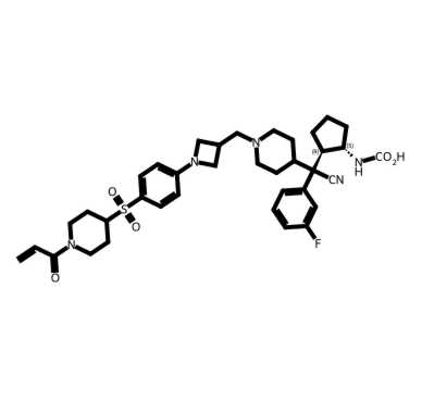 C=CC(=O)N1CCC(S(=O)(=O)c2ccc(N3CC(CN4CCC(C(C#N)(c5cccc(F)c5)[C@H]5CCC[C@@H]5NC(=O)O)CC4)C3)cc2)CC1